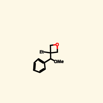 CCC1(C(OC)c2ccccc2)COC1